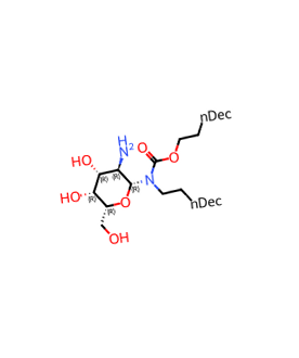 CCCCCCCCCCCCOC(=O)N(CCCCCCCCCCCC)[C@@H]1O[C@H](CO)[C@H](O)[C@H](O)[C@H]1N